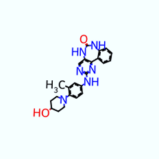 Cc1cc(Nc2ncc3c(n2)-c2ccccc2NC(=O)N3)ccc1N1CCC(O)CC1